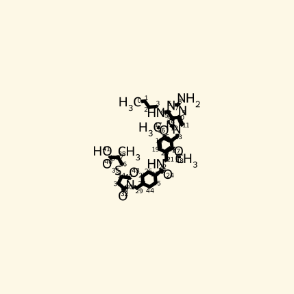 CCCCNc1nc(N)nc2cn(Cc3c(OC)ccc(CNC(=O)C4CCC(CN5C(=O)CC(SC[C@H](C)C(=O)O)C5=O)CC4)c3OC)nc12